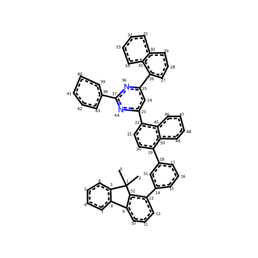 CC1(C)c2ccccc2-c2cccc(-c3cccc(-c4ccc(-c5cc(-c6cccc7ccccc67)nc(-c6ccccc6)n5)c5ccccc45)c3)c21